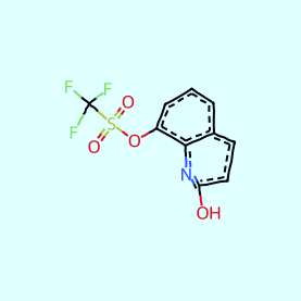 O=S(=O)(Oc1cccc2ccc(O)nc12)C(F)(F)F